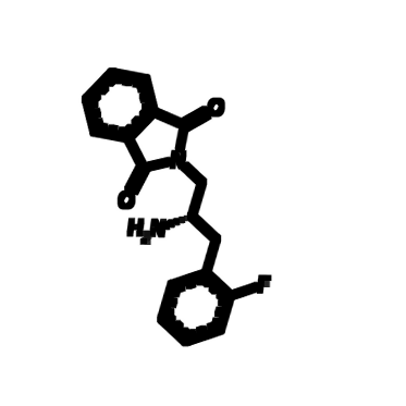 N[C@@H](Cc1ccccc1F)CN1C(=O)c2ccccc2C1=O